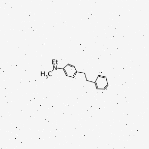 CCN(C)c1ccc(CCc2c[c]ccc2)cc1